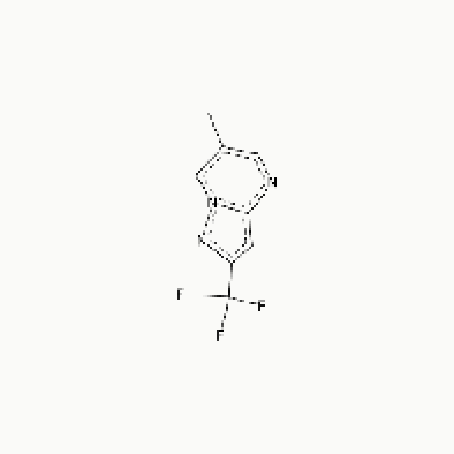 Cc1cnc2cc(C(F)(F)F)nn2c1